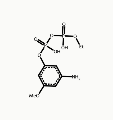 CCOP(=O)(O)OP(=O)(O)Oc1cc(N)cc(OC)c1